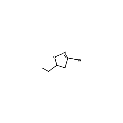 CCC1CC(Br)=NO1